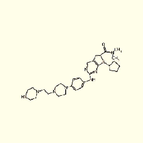 CN(C)C(=O)c1cc2cnc(Nc3ccc(N4CCN(CCN5CCNCC5)CC4)cc3)nc2n1C1CCCC1